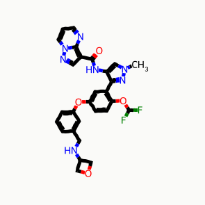 Cn1cc(NC(=O)c2cnn3cccnc23)c(-c2cc(Oc3cccc(CNC4COC4)c3)ccc2OC(F)F)n1